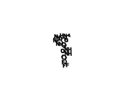 Nc1ncnn2cc(C(=O)NC3CC3)c(-c3ccc(NC(=O)Nc4cccc(CC(F)(F)F)c4)cc3)c12